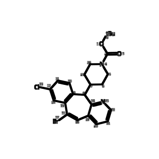 CC(C)(C)OC(=O)N1CCC(C2c3ccc(Cl)cc3C(Br)=Cc3cccnc32)CC1